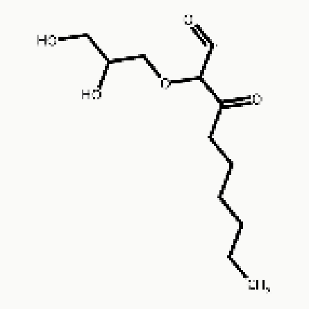 CCCCCCC(=O)C([C]=O)OCC(O)CO